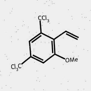 C=Cc1c(OC)cc(C(Cl)(Cl)Cl)cc1C(Cl)(Cl)Cl